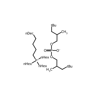 CC(COP(=O)([O-])OCC(C)CC(C)(C)C)CC(C)(C)C.CCCCCCCCCCCCCC[P+](CCCCCC)(CCCCCC)CCCCCC